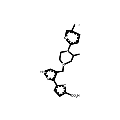 CC1CN(Cc2c[nH]nc2-c2ccc(C(=O)O)o2)CCN1c1ccc(C(F)(F)F)cn1